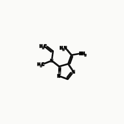 C=CN(C)C1=NC=NC1=C(N)N